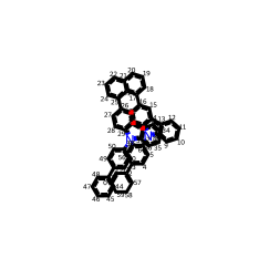 C1=CC(c2ccc(-n3c4ccccc4c4cc(-c5cccc6cccc(-c7ccc8c(c7)c7ccccc7n8-c7ccc(-c8ccccc8)cc7)c56)ccc43)cc2)=CCC1